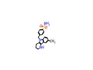 Cc1ccc2c(c1)c1c(n2Cc2ccc(S(N)(=O)=O)cc2)CCCN1